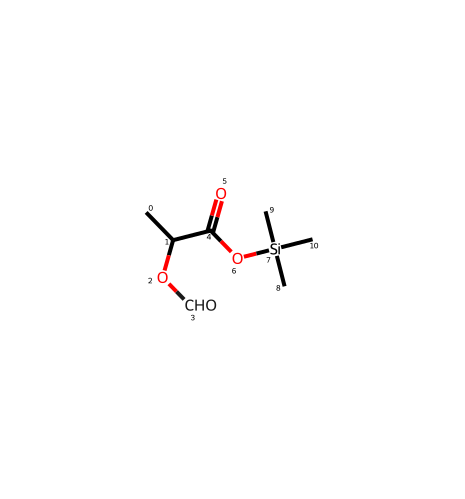 CC(OC=O)C(=O)O[Si](C)(C)C